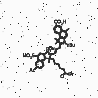 CCCCN1/C(=C/C=C/C2=[N+](CCCC)c3cc(S(=O)(=O)O)c4cc(C(C)=O)ccc4c3C2(C)CCCCCC(=O)C(C)C)C(C)(C)c2c1cc(C)c1cc(C(=O)O)ccc21